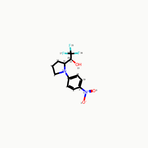 O=[N+]([O-])c1ccc(N2CCCC2[C@H](O)C(F)(F)F)cc1